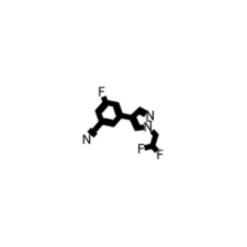 N#Cc1cc(F)cc(-c2cnn(CC(F)F)c2)c1